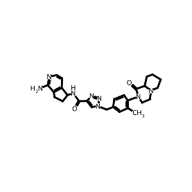 Cc1cc(Cn2cc(C(=O)NC3CCc4c3ccnc4N)nn2)ccc1N1CCN2CCCCC2C1=O